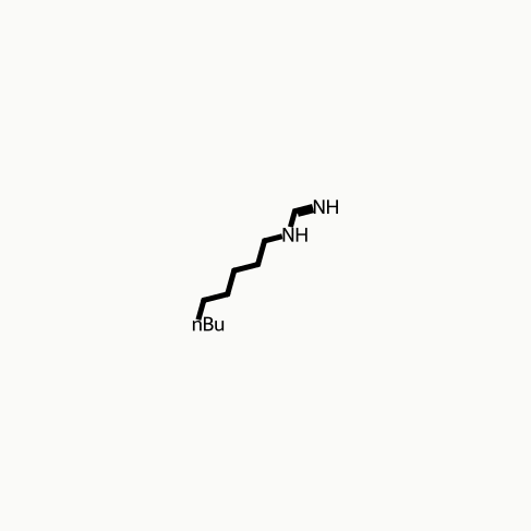 CCCCCCCCCNC=N